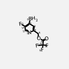 Bc1cc(COC(=O)C(F)(F)F)ncc1F